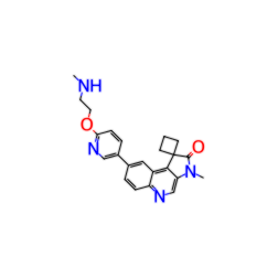 CNCCOc1ccc(-c2ccc3ncc4c(c3c2)C2(CCC2)C(=O)N4C)cn1